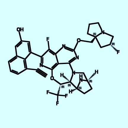 C#Cc1cccc2cc(O)cc(-c3nc4c5c(nc(OC[C@@]67CCCN6C[C@H](F)C7)nc5c3F)N3C[C@H]5CC[C@H](N5)[C@H]3[C@H](C(F)(F)F)O4)c12